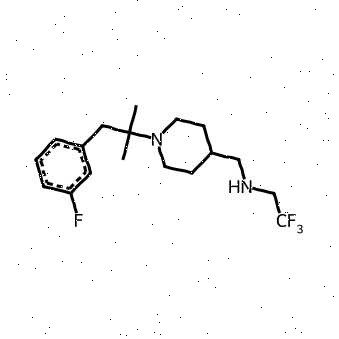 CC(C)(Cc1cccc(F)c1)N1CCC(CNCC(F)(F)F)CC1